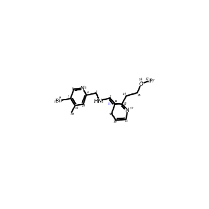 CCC(C)c1cnc(CN/C=C2\CC=CN=C2CCOC(C)C)cc1C